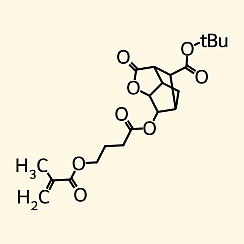 C=C(C)C(=O)OCCCC(=O)OC1C2CC3C1OC(=O)C3C2C(=O)OC(C)(C)C